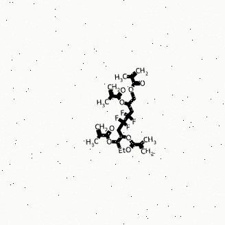 C=C(C)C(=O)OCC(CC(F)(F)C(F)(F)CC(OC(=O)C(=C)C)C(CC)OC(=O)C(=C)C)OC(=O)C(=C)C